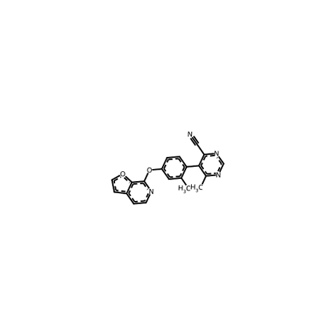 Cc1cc(Oc2nccc3ccoc23)ccc1-c1c(C)ncnc1C#N